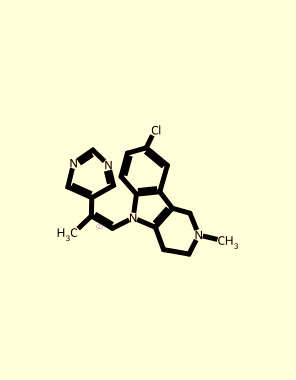 C/C(=C/n1c2c(c3cc(Cl)ccc31)CN(C)CC2)c1cncnc1